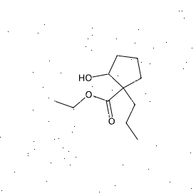 CCCC1(C(=O)OCC)CCCC1O